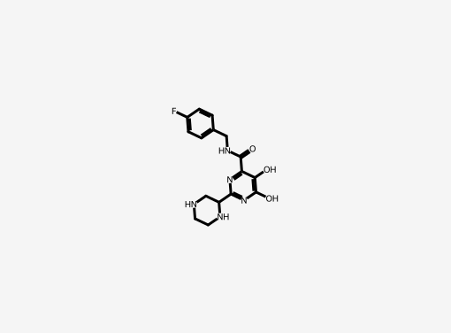 O=C(NCc1ccc(F)cc1)c1nc(C2CNCCN2)nc(O)c1O